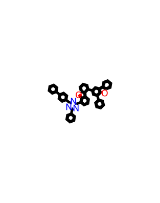 c1ccc(-c2ccc(-c3nc(-c4ccccc4)nc(-c4cccc5c4oc4cccc(-c6cc(-c7ccccc7)c7oc8ccccc8c7c6)c45)n3)cc2)cc1